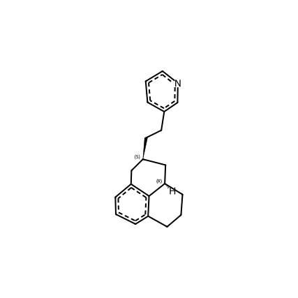 c1cncc(CC[C@@H]2Cc3cccc4c3[C@H](CCC4)C2)c1